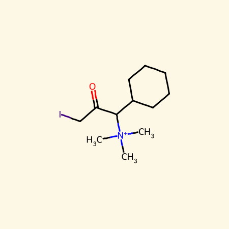 C[N+](C)(C)C(C(=O)CI)C1CCCCC1